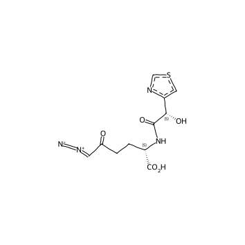 [N-]=[N+]=CC(=O)CC[C@H](NC(=O)[C@@H](O)c1cscn1)C(=O)O